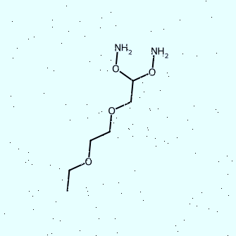 CCOCCOCC(ON)ON